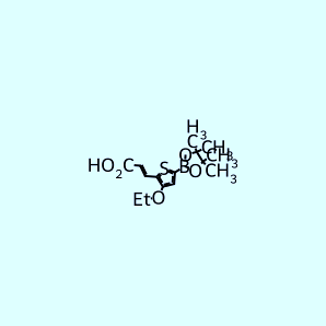 CCOc1cc(B2OC(C)(C)C(C)(C)O2)sc1/C=C/C(=O)O